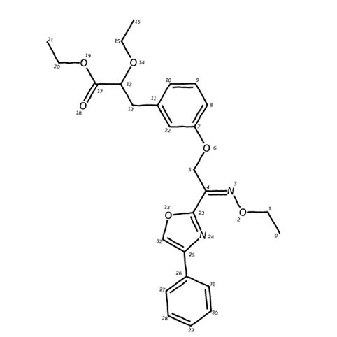 CCON=C(COc1cccc(CC(OCC)C(=O)OCC)c1)c1nc(-c2ccccc2)co1